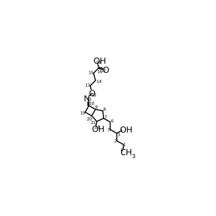 CCCC(O)CCC1CC2C(=NOCCCC(=O)O)CC2C1O